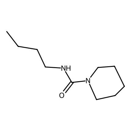 CCCCNC(=O)N1CCCCC1